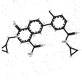 Cc1ccc(C(=O)NC2CC2)cc1-c1ccc2c(=O)n(CC3CC3)cc(C(=O)O)c2c1